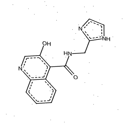 O=C(NCc1ncc[nH]1)c1c(O)cnc2ccccc12